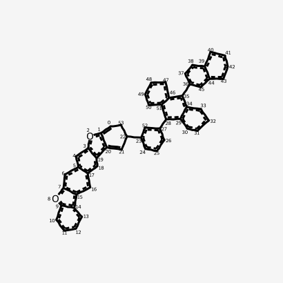 C1=c2oc3cc4cc5oc6ccccc6c5cc4cc3c2=CC(c2cccc(-c3c4ccccc4c(-c4ccc5ccccc5c4)c4ccccc34)c2)C1